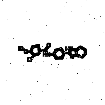 CCOc1ccc(C(=O)Nc2ccc(-c3nc4ccccc4[nH]3)cc2)cc1Cl